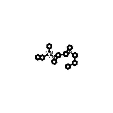 c1ccc(-c2cccc(-c3cccc(-n4c5ccccc5c5cc(-c6ccc7c(c6)c6ccccc6n7-c6nc(-c7ccccc7)nc(-c7ccc8ccccc8c7)n6)ccc54)c3)c2)cc1